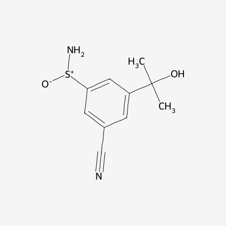 CC(C)(O)c1cc(C#N)cc([S+](N)[O-])c1